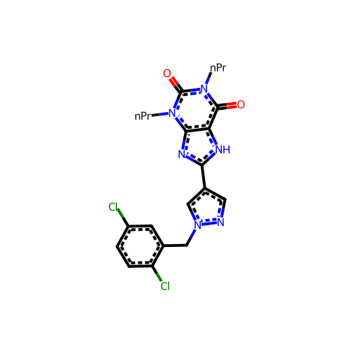 CCCn1c(=O)c2[nH]c(-c3cnn(Cc4cc(Cl)ccc4Cl)c3)nc2n(CCC)c1=O